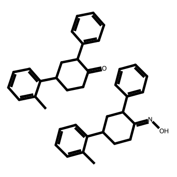 Cc1ccccc1C1CCC(=NO)C(c2ccccc2)C1.Cc1ccccc1C1CCC(=O)C(c2ccccc2)C1